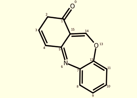 O=C1CC=CC2=Nc3ccccc3OC=C12